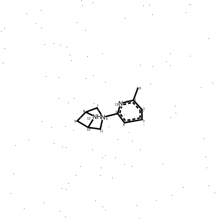 Cc1cccc(N2CC3CC(C2)N3)n1